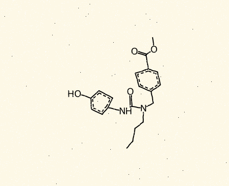 CCCCN(Cc1ccc(C(=O)OC)cc1)C(=O)Nc1ccc(O)cc1